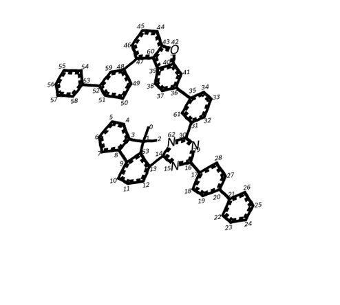 CC1(C)c2ccccc2-c2cccc(-c3nc(-c4ccc(-c5ccccc5)cc4)nc(-c4cccc(-c5ccc6c(c5)oc5cccc(-c7cccc(-c8ccccc8)c7)c56)c4)n3)c21